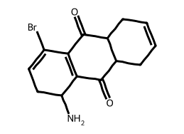 NC1CC=C(Br)C2=C1C(=O)C1CC=CCC1C2=O